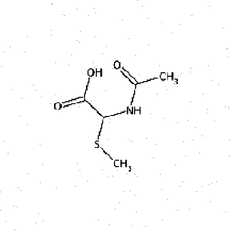 CSC(NC(C)=O)C(=O)O